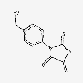 C=C1SC(=S)N(c2ccc(CO)cc2)C1=O